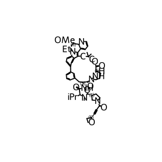 CCn1c(-c2cccnc2[C@H](C)OC)c2c3cc(ccc31)-c1cccc(c1)C[C@H](NC(=O)C(C(C)C)N(C)C(=O)[C@H]1CCN(C(=O)C#C[C@@H]3CCO3)C1)C(=O)N1CCC[C@H](N1)C(=O)OCC(C)(C)C2